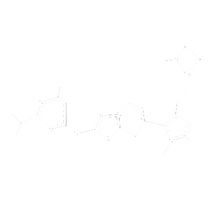 Cc1cc(Nc2cc3cc(-c4c(OC[C@H]5CCN5C)cnn4C)ccn3n2)nc(C(F)F)n1